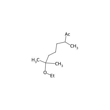 CCOC(C)(C)CCCC(C)C(C)=O